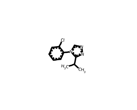 CC(C)c1nncn1-c1ccccc1Cl